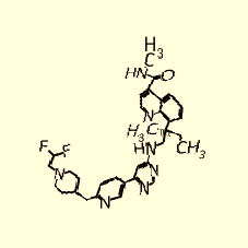 CC[C@@](C)(CNc1cc(-c2ccc(CC3CCN(CC(F)F)CC3)nc2)ncn1)c1cccc2c(C(=O)NC)ccnc12